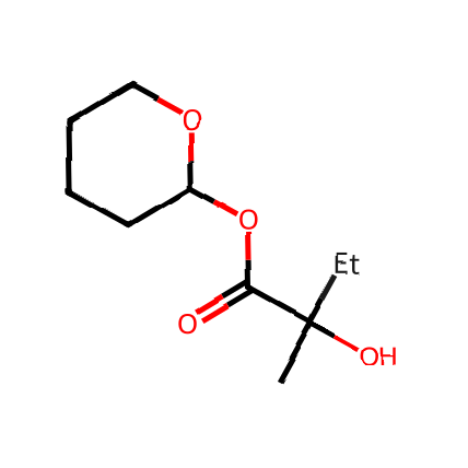 CCC(C)(O)C(=O)OC1CCCCO1